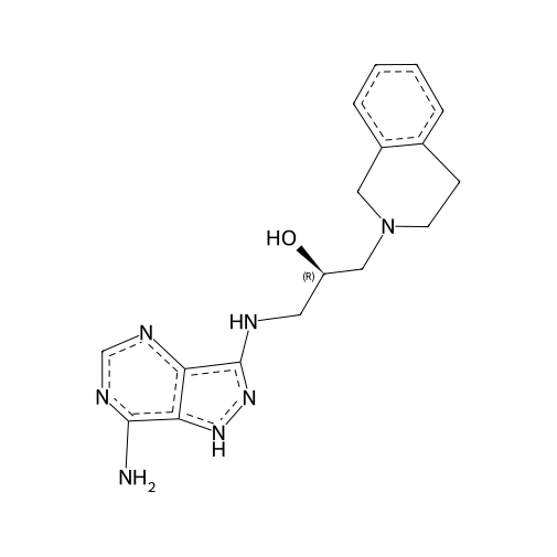 Nc1ncnc2c(NC[C@@H](O)CN3CCc4ccccc4C3)n[nH]c12